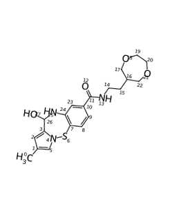 Cc1cc2n(c1)Sc1ccc(C(=O)NCCC3COCCOC3)cc1NC2O